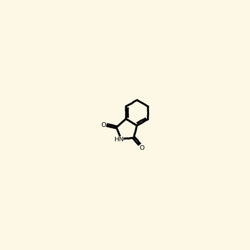 O=C1NC(=O)C2=CCCC=C12